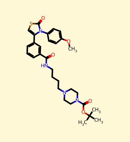 COc1ccc(-n2c(-c3cccc(C(=O)NCCCCN4CCN(C(=O)OC(C)(C)C)CC4)c3)csc2=O)cc1